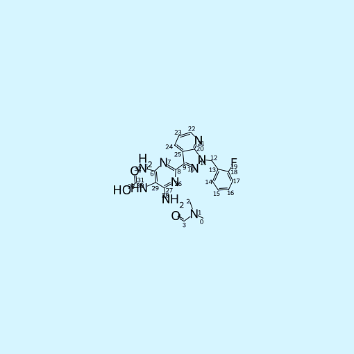 CN(C)C=O.Nc1nc(-c2nn(Cc3ccccc3F)c3ncccc23)nc(N)c1NC(=O)O